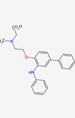 CN(CCOc1ccc(-c2ccccc2)cc1Nc1ccccc1)CC(=O)O